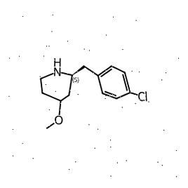 COC1CCN[C@@H](Cc2ccc(Cl)cc2)C1